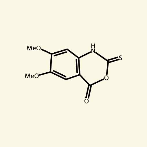 COc1cc2[nH]c(=S)oc(=O)c2cc1OC